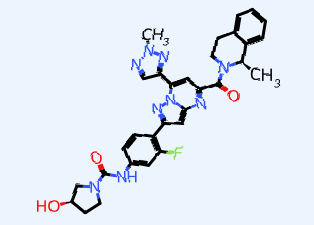 C[C@@H]1c2ccccc2CCN1C(=O)c1cc(-c2cnn(C)n2)n2nc(-c3ccc(NC(=O)N4CC[C@@H](O)C4)cc3F)cc2n1